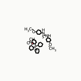 CC(=O)Oc1ccccc1[PH](c1ccccc1)(c1ccccc1)c1ccccc1.CCOc1ccc(NC(=S)Nc2ccc(OCC)cc2)cc1